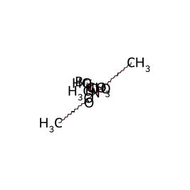 CCCCCCCCC=CCCCCCCCC(=O)OCCCN(CCCOC(=O)CCCCCCCC=CCCCCCCCC)C(=O)C[N+](C)(C)CCO.[Br-]